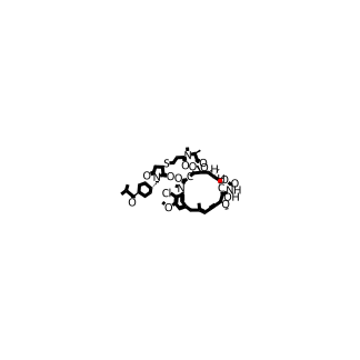 COc1cc2cc(c1Cl)N(C)C(=O)C[C@H](OC(=O)[C@H](C)N(C)C(=O)CCS[C@H]1CC(=O)N(C[C@H]3CC[C@H](C(=O)C(C)C)CC3)C1=O)[C@]1(C)O[C@H]1[C@H](C)[C@@H]1C[C@@](O)(NC(=O)O1)[C@H](OC)/C=C/C=C(\C)C2